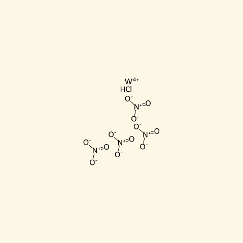 Cl.O=[N+]([O-])[O-].O=[N+]([O-])[O-].O=[N+]([O-])[O-].O=[N+]([O-])[O-].[W+4]